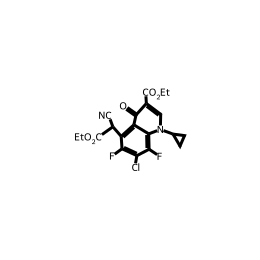 CCOC(=O)c1cn(C2CC2)c2c(F)c(Cl)c(F)c(C(C#N)C(=O)OCC)c2c1=O